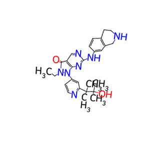 CCn1c(=O)c2cnc(Nc3ccc4c(c3)CNCC4)nc2n1-c1ccnc(C(C)(C)C(C)(C)O)c1